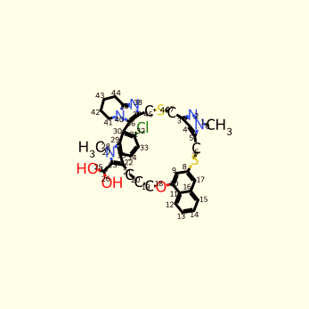 Cn1nc2cc1CSc1cc(c3ccccc3c1)OCCCc1c(C(O)O)n(C)c3c(c(Cl)ccc13)-c1c(nc3n1CCCC3)CSC2